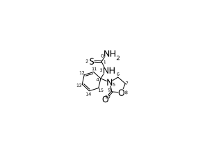 NC(=S)NC1(N2CCOC2=O)C=CC=CC1